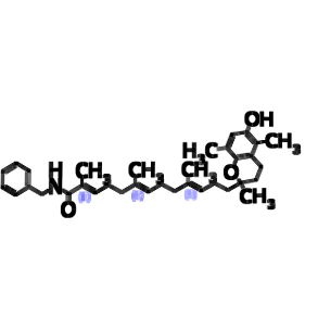 C/C(=C\CC/C(C)=C/CCC1(C)CCc2c(C)c(O)cc(C)c2O1)CC/C=C(\C)C(=O)NCc1ccccc1